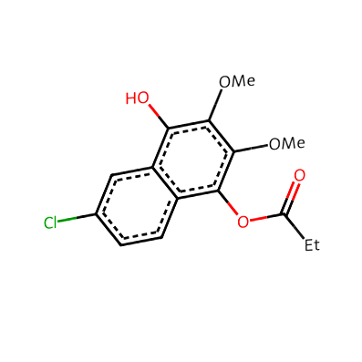 CCC(=O)Oc1c(OC)c(OC)c(O)c2cc(Cl)ccc12